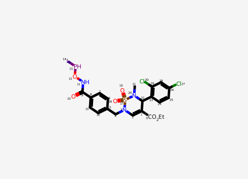 CCOC(=O)C1=CN(Cc2ccc(C(=O)NOPI)cc2)S(=O)(=O)N(C)C1c1ccc(Cl)cc1Cl